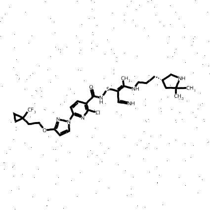 C/C(NCCC[C@@H]1CNC(C)(C)C1)=C(/C=N)SNC(=O)c1ccc(-n2ccc(OCCC3(C(F)(F)F)CC3)n2)nc1Cl